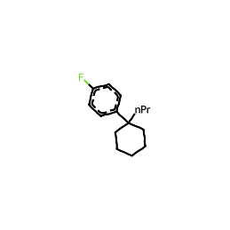 CCCC1(c2ccc(F)cc2)CCCCC1